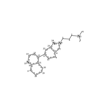 CN(C)CCCn1cc2ccc(-c3ccnc4ccccc34)cc2n1